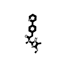 CSC1=C(C)NC(N(C)C(=O)Cc2ccc(-c3ccccn3)cc2)S1